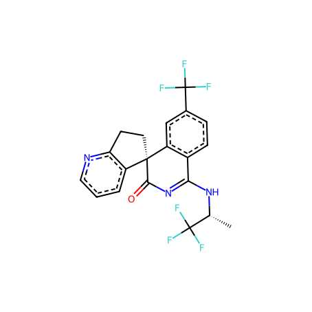 C[C@@H](NC1=NC(=O)[C@]2(CCc3ncccc32)c2cc(C(F)(F)F)ccc21)C(F)(F)F